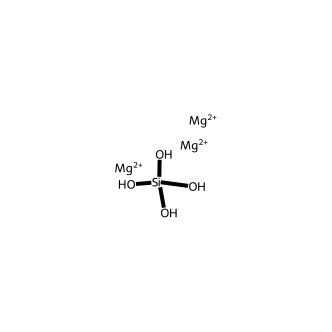 O[Si](O)(O)O.[Mg+2].[Mg+2].[Mg+2]